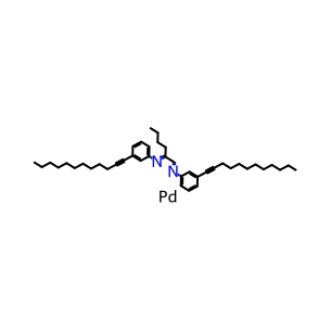 CCCCCCCCCCC#Cc1cccc(N=CC(CCCC)=Nc2cccc(C#CCCCCCCCCCC)c2)c1.[Pd]